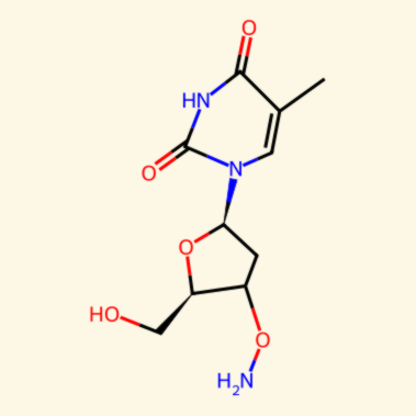 Cc1cn([C@H]2CC(ON)[C@@H](CO)O2)c(=O)[nH]c1=O